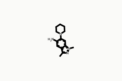 Cc1nn(C)c2cc(N3CCCCC3)c(N)cc12